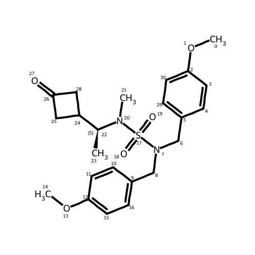 COc1ccc(CN(Cc2ccc(OC)cc2)S(=O)(=O)N(C)[C@@H](C)C2CC(=O)C2)cc1